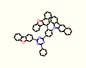 c1ccc(-c2nc(-c3ccc(-n4c5ccccc5c5cc6ccccc6cc54)c(-c4cc5ccccc5c5oc6ccccc6c45)c3)nc(-c3ccc4c(c3)oc3ccccc34)n2)cc1